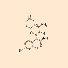 NC(=O)c1n[nH]c(=O)c(-c2ccc(Br)cc2F)c1OC1CCNCC1